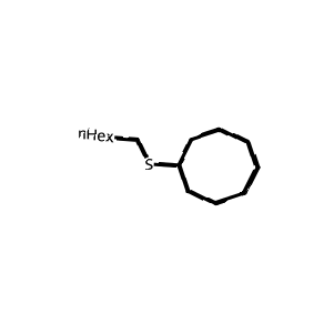 CCCCCCCSC1CCCCCCC1